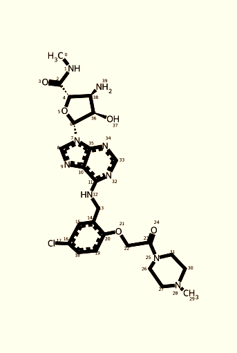 CNC(=O)[C@H]1O[C@@H](n2cnc3c(NCc4cc(Cl)ccc4OCC(=O)N4CCN(C)CC4)ncnc32)[C@H](O)[C@@H]1N